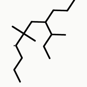 CCC[CH]C(C)(C)CC(CCC)C(C)CC